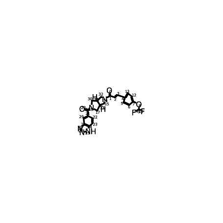 O=C(/C=C/c1ccc(OC(F)F)cc1)N1C[C@@H]2CN(C(=O)c3ccc4[nH]nnc4c3)C[C@H]2C1